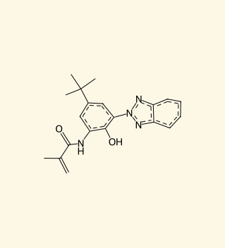 C=C(C)C(=O)Nc1cc(C(C)(C)C)cc(-n2nc3ccccc3n2)c1O